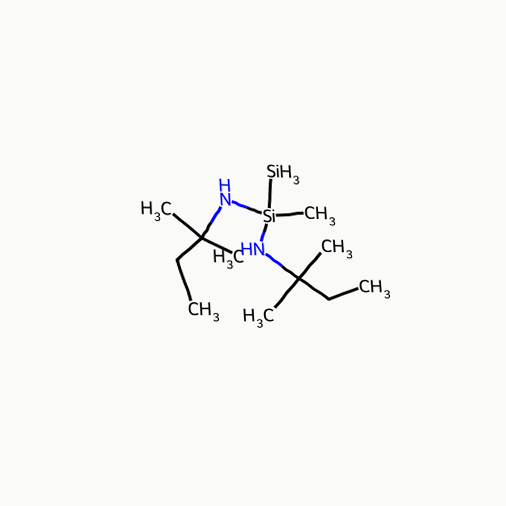 CCC(C)(C)N[Si](C)([SiH3])NC(C)(C)CC